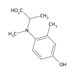 Cc1cc(O)ccc1N(C)C(C)C(=O)O